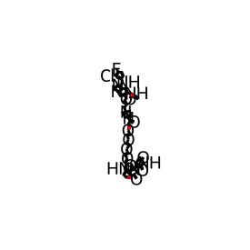 C=CC(=O)Nc1cc2c(Nc3ccc(F)c(Cl)c3)ncnc2cc1OCCCN1CCN(C(=O)CCOCCOCCOCCOCCNc2cccc(C=O)c2C(=O)N(C)C2CCC(=O)NC2=O)CC1